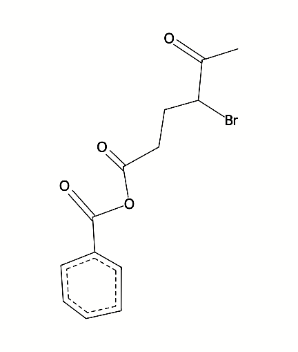 CC(=O)C(Br)CCC(=O)OC(=O)c1ccccc1